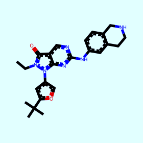 CCn1c(=O)c2cnc(Nc3ccc4c(c3)CCNC4)nc2n1-c1coc(C(C)(C)C)c1